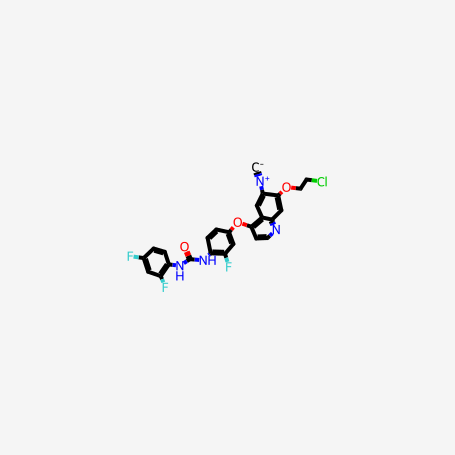 [C-]#[N+]c1cc2c(Oc3ccc(NC(=O)Nc4ccc(F)cc4F)c(F)c3)ccnc2cc1OCCCl